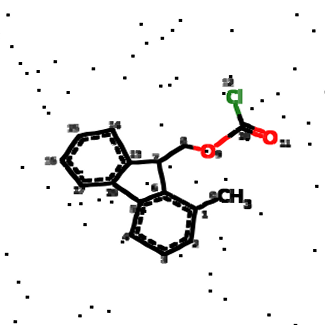 Cc1cccc2c1C(COC(=O)Cl)c1ccccc1-2